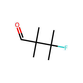 CC(C)(F)C(C)(C)C=O